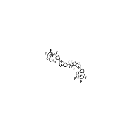 CC(F)(F)CC(F)(F)CC(F)(F)CC(F)(F)c1ccc(N2COc3ccc(C(c4ccc5c(c4)CN(c4ccc(CC(F)(F)CC(F)(F)CC(F)(F)CC(F)(F)F)cc4)CO5)(C(F)(F)F)C(F)(F)F)cc3C2)cc1